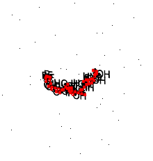 Cc1cc(CNc2cc(C(c3ccc(O)c(NC(=O)c4ccc(Oc5ccc(C(=O)Nc6cc(C(C)(C(F)(F)F)C(F)(F)F)ccc6O)cc5)cc4)c3)(C(F)(F)F)C(F)(F)F)ccc2O)c(O)c(CNc2cc(C(c3ccc(O)c(NC(=O)C4C5C=CC(C5)C4C(=O)O)c3)(C(F)(F)F)C(F)(F)F)ccc2O)c1